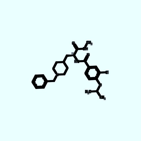 CNC(=O)[C@H](CC1CCN(Cc2ccccc2)CC1)NC(=O)c1ccc(OC(C)C)c(Cl)c1